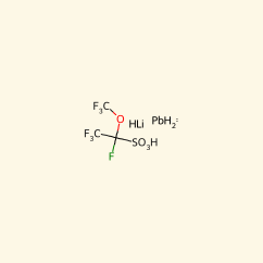 O=S(=O)(O)C(F)(OC(F)(F)F)C(F)(F)F.[LiH].[PbH2]